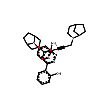 Nc1nnc(-c2ccccc2O)cc1N1CC2CCC(C1)N2c1ccnc(C#CCN2CCC3CCC2C3)c1